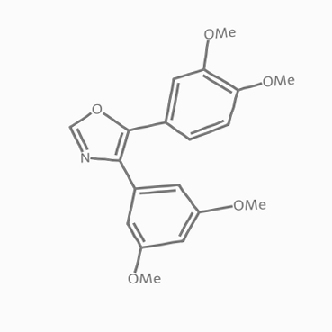 COc1cc(OC)cc(-c2ncoc2-c2ccc(OC)c(OC)c2)c1